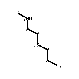 CNCCSCCI